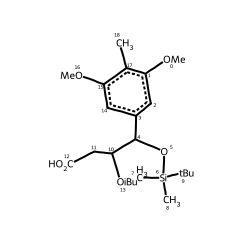 COc1cc(C(O[Si](C)(C)C(C)(C)C)C(CC(=O)O)OCC(C)C)cc(OC)c1C